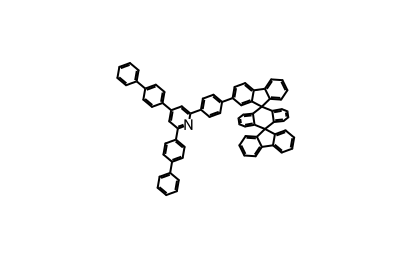 c1ccc(-c2ccc(-c3cc(-c4ccc(-c5ccccc5)cc4)nc(-c4ccc(-c5ccc6c(c5)C5(c7ccccc7-6)c6ccccc6C6(c7ccccc7-c7ccccc76)c6ccccc65)cc4)c3)cc2)cc1